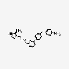 C=C1NCCN1CCNCc1cccc(-c2ccc(Cc3ccc(N)cc3)cc2)n1